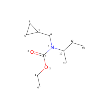 CCOC(=O)N(CC1CC1)C(C)CC